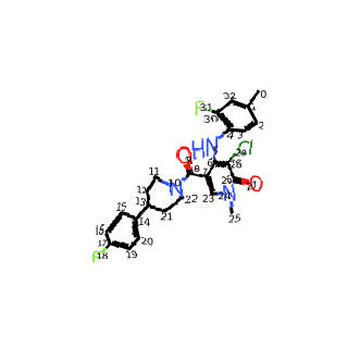 Cc1ccc(Nc2c(C(=O)N3CCC(c4ccc(F)cc4)CC3)cn(C)c(=O)c2Cl)c(F)c1